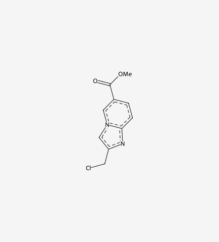 COC(=O)c1ccc2nc(CCl)cn2c1